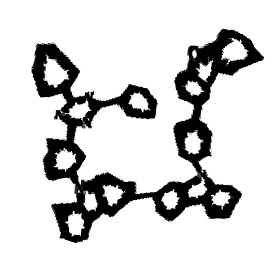 c1ccc(-c2nc(-c3ccccc3)nc(-c3cccc(-n4c5ccccc5c5cc(-c6ccc7c8ccccc8n(-c8ccc(-c9ccc%10oc%11ccccc%11c%10c9)cc8)c7c6)ccc54)c3)n2)cc1